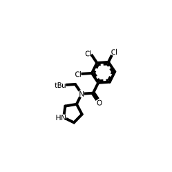 CC(C)(C)CN(C(=O)c1ccc(Cl)c(Cl)c1Cl)C1CCNC1